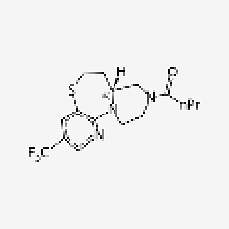 CCCC(=O)N1CCN2c3ncc(C(F)(F)F)cc3SCC[C@@H]2C1